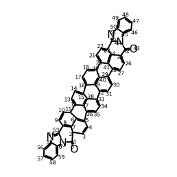 O=C1C2C=CC3=C4C2=C(C=CC4c2ccc4c5ccc6c7ccc8c9c(ccc(c%10ccc(c%11ccc3c2c%114)c5c%106)c79)c(=O)n2c3ccccc3nc82)c2nc3ccccc3n21